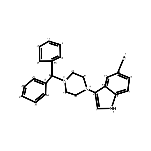 Brc1ccc2[nH][c]c(N3CCN(C(c4ccccc4)c4ccccc4)CC3)c2c1